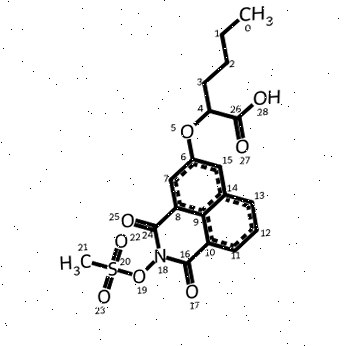 CCCCC(Oc1cc2c3c(cccc3c1)C(=O)N(OS(C)(=O)=O)C2=O)C(=O)O